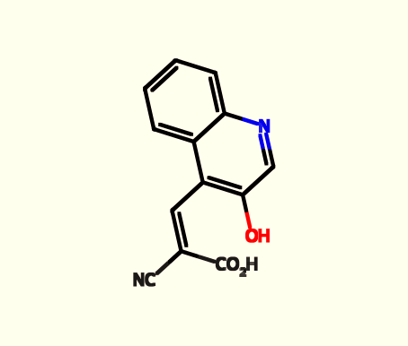 N#CC(=Cc1c(O)cnc2ccccc12)C(=O)O